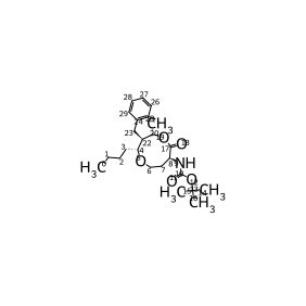 CCCC[C@H]1OCC[C@H](NC(=O)OC(C)(C)C)C(=O)O[C@@H](C)[C@@H]1Cc1ccccc1